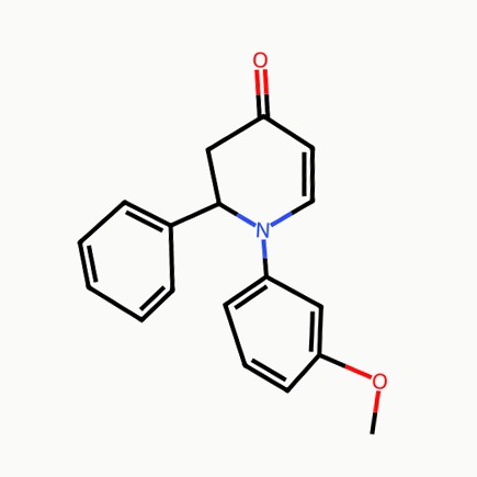 COc1cccc(N2C=CC(=O)CC2c2ccccc2)c1